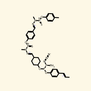 C/C=C/c1ccc(OP(OC2CCC(/C=N/N(C)[PH](=S)Oc3ccc(/C=N/N(C)[PH](=S)Oc4ccc(C)cc4)cc3)CC2)P(P)N=[N+]=[N-])cc1